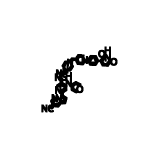 N#Cc1cnn2c(-c3cc(NC4CCOCC4)c(-c4nnc(N5CCN(CC6CCN(c7ccc([C@@H]8CCC(=O)NC8=O)cc7)CC6)CC5)s4)cn3)ccc2c1